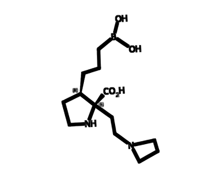 O=C(O)[C@@]1(CCN2CCC2)NCC[C@H]1CCCB(O)O